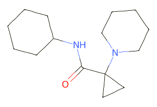 O=C(NC1CCCCC1)C1(N2CCCCC2)CC1